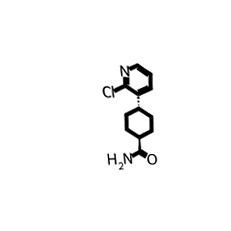 NC(=O)[C@H]1CC[C@H](c2cccnc2Cl)CC1